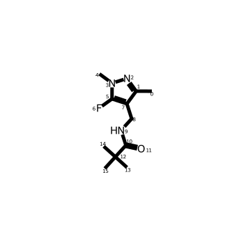 Cc1nn(C)c(F)c1CNC(=O)C(C)(C)C